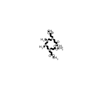 COC(=O)CCN(CCC(=O)OC)CCN(C)CCN(C)CCN(CCC(=O)OC)CCC(=O)OC